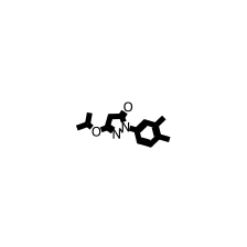 Cc1ccc(N2N=C(OC(C)C)CC2=O)cc1C